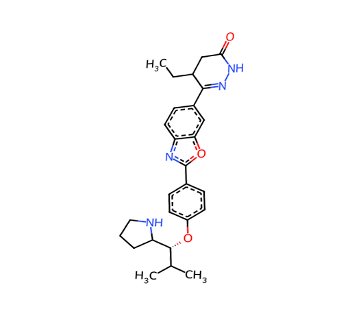 CCC1CC(=O)NN=C1c1ccc2nc(-c3ccc(O[C@H](C(C)C)C4CCCN4)cc3)oc2c1